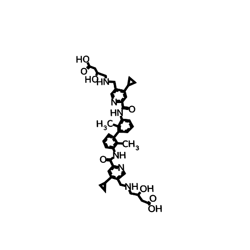 Cc1c(NC(=O)c2cc(C3CC3)c(CNCC(O)CC(=O)O)cn2)cccc1-c1cccc(NC(=O)c2cc(C3CC3)c(CNCC(O)CC(=O)O)cn2)c1C